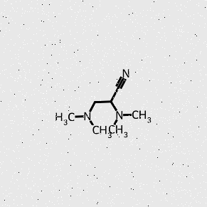 CN(C)CC(C#N)N(C)C